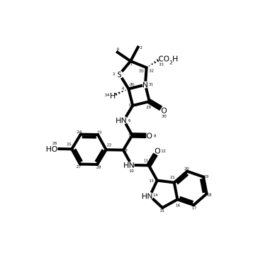 CC1(C)S[C@@H]2C(NC(=O)C(NC(=O)C3NCc4ccccc43)c3ccc(O)cc3)C(=O)N2[C@H]1C(=O)O